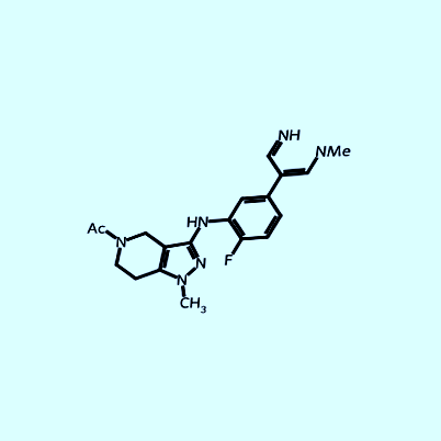 CN/C=C(\C=N)c1ccc(F)c(Nc2nn(C)c3c2CN(C(C)=O)CC3)c1